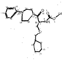 CC(C)(C)OC(=O)N[C@@H](CSCC1CCCCC1)C(=O)N1CCN(c2ccccn2)CC1